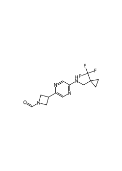 O=CN1CC(c2cnc(NCC3(C(F)(F)F)CC3)cn2)C1